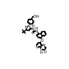 CC(C)(C)c1cc(NC(=O)Nc2ccc(Oc3ccnc4[nH]c(=O)cnc34)c3ccccc23)n(-c2ccc(CO)cc2)n1